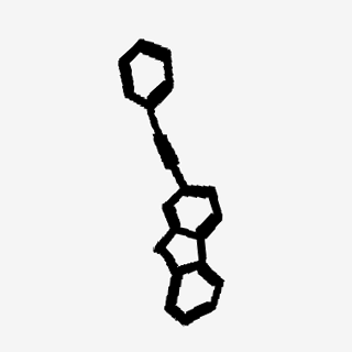 C(#Cc1ccc2c(c1)Cc1ccccc1-2)c1ccccc1